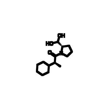 C[C@H](C(=O)N1CCC[C@H]1C(O)O)C1CCCCC1